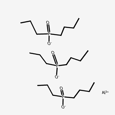 CCCCP(=O)([O-])CCC.CCCCP(=O)([O-])CCC.CCCCP(=O)([O-])CCC.[Al+3]